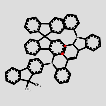 CC1(C)c2ccccc2-c2ccc(N(c3ccccc3C3=CC4c5ccccc5N(c5ccccc5)C4C=C3)c3cccc4c3-c3ccccc3C43c4ccccc4-c4ccccc43)cc21